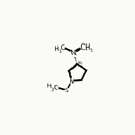 CSN1CC[C@@H](N(C)C)C1